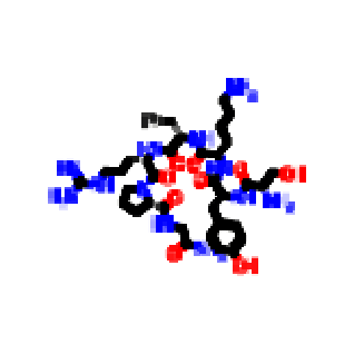 CC(C)C[C@H](NC(=O)[C@@H](CCCCN)NC(=O)[C@H](Cc1ccc(O)cc1)NC(=O)[C@@H](N)CO)C(=O)N[C@@H](CCCNC(=N)N)C(=O)N1CCC[C@H]1C(=O)NCC(N)=O